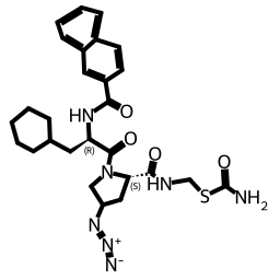 [N-]=[N+]=NC1C[C@@H](C(=O)NCSC(N)=O)N(C(=O)[C@@H](CC2CCCCC2)NC(=O)c2ccc3ccccc3c2)C1